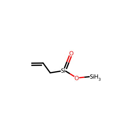 C=CC[Si](=O)O[SiH3]